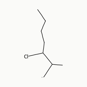 [CH2]C(C)C(Cl)CCCC